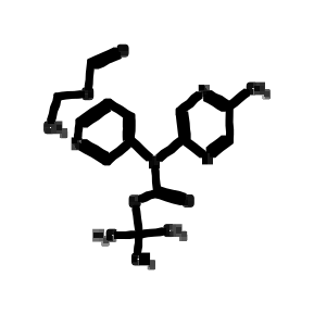 CCOC=O.Cc1cnc(N(C(=O)OC(C)(C)C)c2cccnc2)cn1